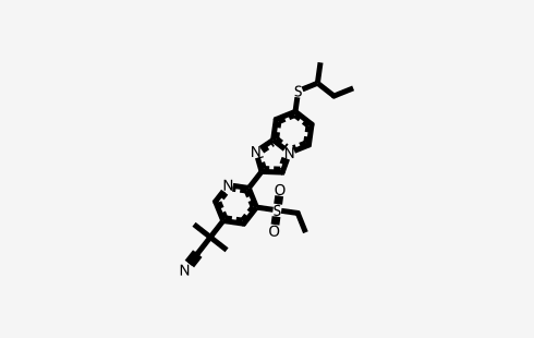 CCC(C)Sc1ccn2cc(-c3ncc(C(C)(C)C#N)cc3S(=O)(=O)CC)nc2c1